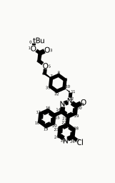 CC(C)(C)OC(=O)COC[C@H]1CC[C@H](Cn2nc(-c3ccccc3)c(-c3ccnc(Cl)c3)cc2=O)CC1